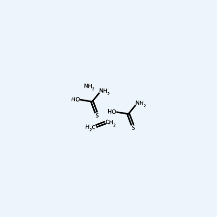 C=C.N.NC(O)=S.NC(O)=S